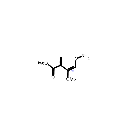 C=C(C(=O)OC)/C(=C\SN)OC